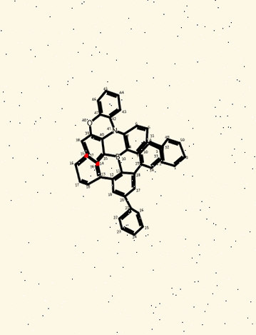 c1ccc(-c2ccc3c(c2)B(c2c(-c4ccccc4)cc(-c4ccccc4)cc2-c2ccccc2)c2cccc4c2N3c2ccccc2O4)cc1